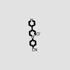 N#Cc1ccc(-[n+]2ccc(-c3ccncc3)cc2)cc1.[Cl-]